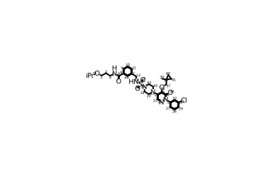 CC(C)OCCCNC(=O)c1cccc(CNS(=O)(=O)N2CCN(c3cnn(-c4cccc(Cl)c4)c(=O)c3OCC3(C)CC3)CC2)c1